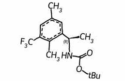 Cc1cc([C@@H](C)NC(=O)OC(C)(C)C)c(C)c(C(F)(F)F)c1